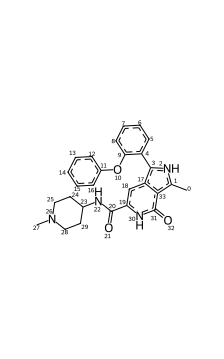 Cc1[nH]c(-c2ccccc2Oc2ccccc2)c2cc(C(=O)NC3CCN(C)CC3)[nH]c(=O)c12